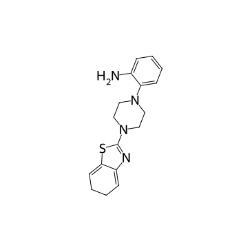 Nc1ccccc1N1CCN(c2nc3c(s2)=CCCC=3)CC1